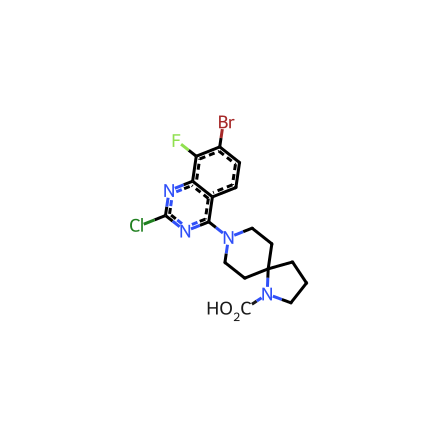 O=C(O)N1CCCC12CCN(c1nc(Cl)nc3c(F)c(Br)ccc13)CC2